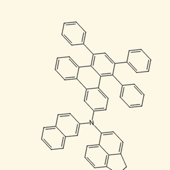 c1ccc(-c2cc(-c3ccccc3)c3c4ccccc4c4cc(N(c5ccc6ccccc6c5)c5ccc6c7c(cccc57)CC6)ccc4c3c2-c2ccccc2)cc1